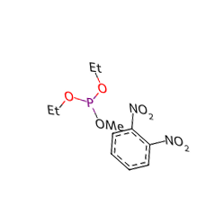 CCOP(OC)OCC.O=[N+]([O-])c1ccccc1[N+](=O)[O-]